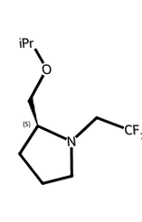 CC(C)OC[C@@H]1CCCN1CC(F)(F)F